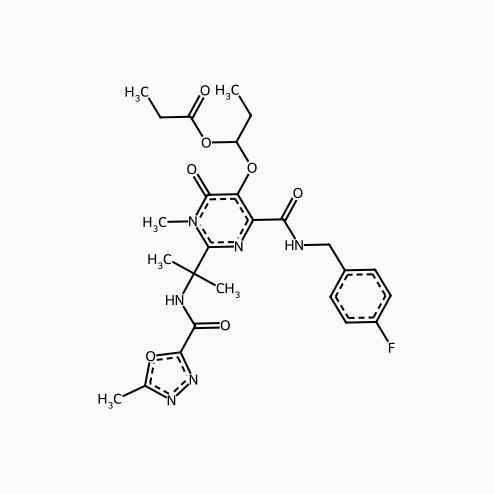 CCC(=O)OC(CC)Oc1c(C(=O)NCc2ccc(F)cc2)nc(C(C)(C)NC(=O)c2nnc(C)o2)n(C)c1=O